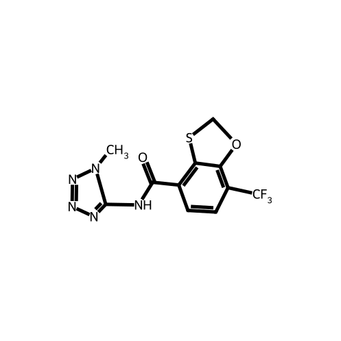 Cn1nnnc1NC(=O)c1ccc(C(F)(F)F)c2c1SCO2